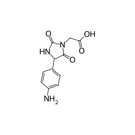 Nc1ccc(C2NC(=O)N(CC(=O)O)C2=O)cc1